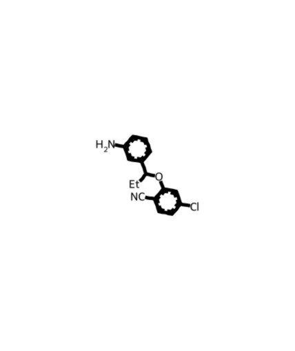 CCC(Oc1cc(Cl)ccc1C#N)c1cccc(N)c1